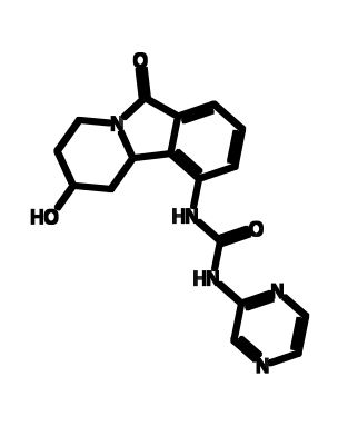 O=C(Nc1cnccn1)Nc1cccc2c1C1CC(O)CCN1C2=O